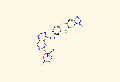 Cn1cnc2cc(Oc3ccc(Nc4ncnc5cnc(N6C[C@@H]7CC[C@H]6CO7)nc45)cc3Cl)ccc21